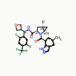 Cc1cc(C(=O)N2[C@@H](C(=O)N[C@@H](c3cc(F)c(C(F)(F)F)cc3F)C3COC3)C[C@H]3C[C@H]32)c2[nH]ncc2c1